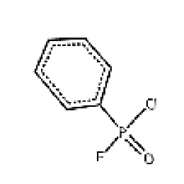 O=P(F)(Cl)c1ccccc1